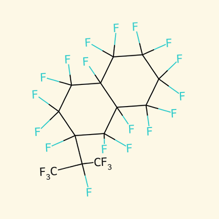 FC(F)(F)C(F)(C(F)(F)F)C1(F)C(F)(F)C(F)(F)C2(F)C(F)(F)C(F)(F)C(F)(F)C(F)(F)C2(F)C1(F)F